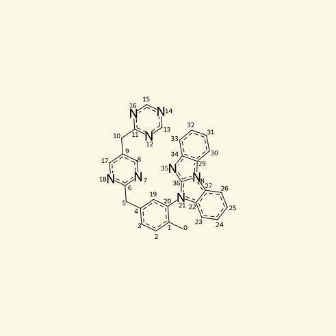 Cc1ccc(Cc2ncc(Cc3ncncn3)cn2)cc1-n1c2ccccc2n2c3ccccc3nc12